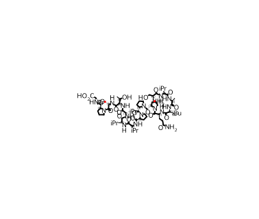 CC[C@H](C)[C@H](NC(=O)[C@H](C)NC(=O)[C@@H](NC(=O)[C@@H](N)CO)C(C)C)C(=O)N[C@@H](CCC(N)=O)C(=O)N1CCC[C@H]1C(=O)N1CCC[C@H]1C(=O)N1CCC[C@H]1C(=O)N[C@H](C(=O)N[C@H](C(=O)N[C@H](C(=O)N[C@H](C(=O)N[C@@H](CC(C)C)C(=O)N1CCC[C@H]1C(=O)NCC(=O)O)[C@@H](C)O)C(C)C)C(C)C)C(C)C